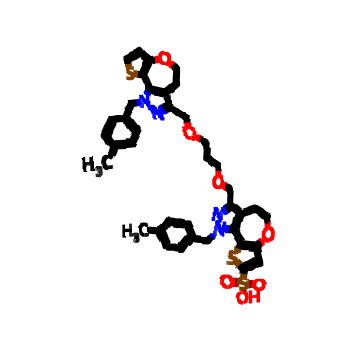 Cc1ccc(Cn2nc(COCCCOCc3nn(Cc4ccc(C)cc4)c4c3CCOc3cc(S(=O)(=O)O)sc3-4)c3c2-c2sccc2OCC3)cc1